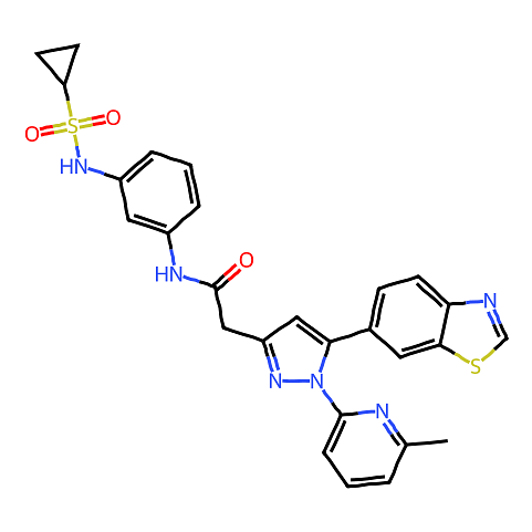 Cc1cccc(-n2nc(CC(=O)Nc3cccc(NS(=O)(=O)C4CC4)c3)cc2-c2ccc3ncsc3c2)n1